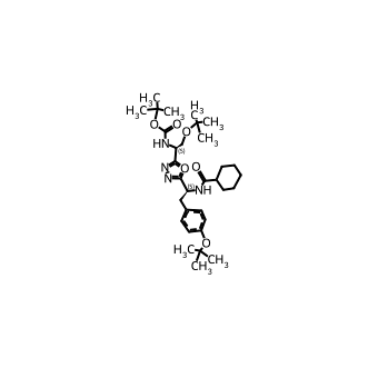 CC(C)(C)OC[C@H](NC(=O)OC(C)(C)C)c1nnc([C@H](Cc2ccc(OC(C)(C)C)cc2)NC(=O)C2CCCCC2)o1